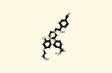 N#Cc1ccc([C@H](O)CN2CCN(c3ccc(OCCO)cc3Cl)[C@H](c3ccc(C(N)=O)cc3)C2)cc1